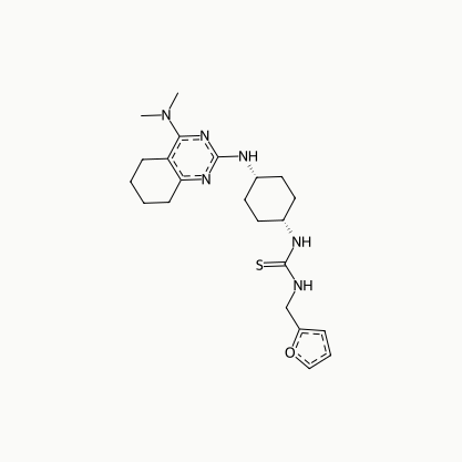 CN(C)c1nc(N[C@H]2CC[C@@H](NC(=S)NCc3ccco3)CC2)nc2c1CCCC2